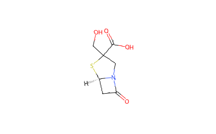 O=C1C[C@H]2SC(CO)(C(=O)O)CN12